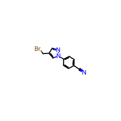 N#Cc1ccc(-n2cc(CBr)cn2)cc1